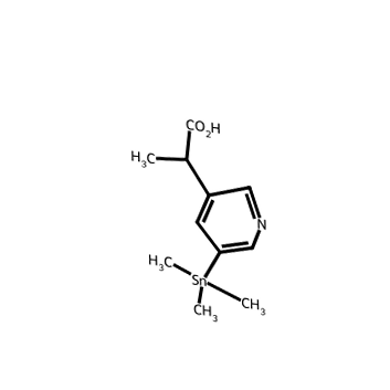 CC(C(=O)O)c1cnc[c]([Sn]([CH3])([CH3])[CH3])c1